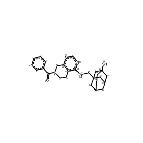 O=C(c1cccnc1)N1CCc2c(ncnc2NCC23CC4CC(CC(O)(C4)C2)C3)C1